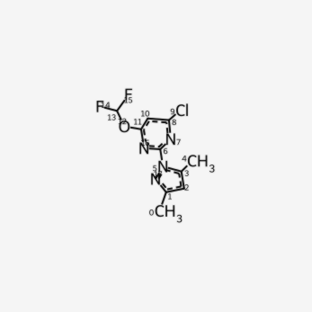 Cc1cc(C)n(-c2nc(Cl)cc(OC(F)F)n2)n1